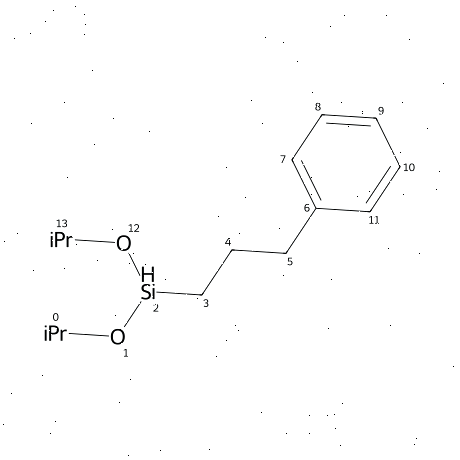 CC(C)O[SiH](CCCc1ccccc1)OC(C)C